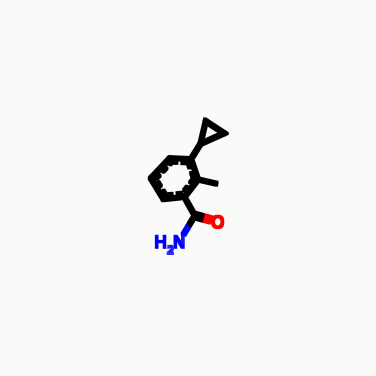 Cc1c(C(N)=O)cccc1C1CC1